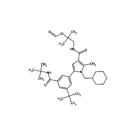 Cc1c(C(=O)NCC(C)(C)OC=O)cc(-c2cc(C(=O)NC(C)(C)C)cc(C(C)(C)C)c2)n1CC1CCCCC1